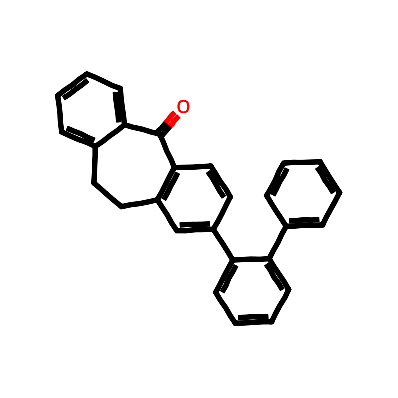 O=C1c2ccccc2CCc2cc(-c3ccccc3-c3ccccc3)ccc21